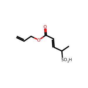 C=CCOC(=O)C=CC(C)S(=O)(=O)O